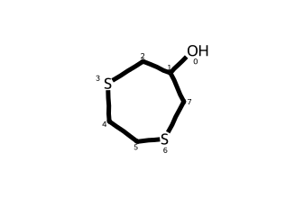 OC1CSCCSC1